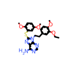 CCOc1cc(CCn2c(Sc3cc(OC)ccc3OC)nc3c(N)ncnc32)ccc1OC